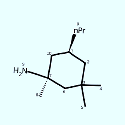 CCC[C@H]1CC(C)(C)C[C@@](C)(N)C1